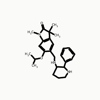 CC(C)Oc1cc2c(cc1CNC1CCCNC1c1ccccc1)C(C)(C)C(=O)N2C